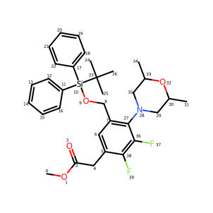 COC(=O)Cc1cc(CO[Si](c2ccccc2)(c2ccccc2)C(C)(C)C)c(N2CC(C)OC(C)C2)c(F)c1F